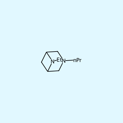 CCCN1CC2CC(C1)N2CC